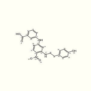 O=C(O)c1cccc(Nc2ncc([N+](=O)[O-])c(NCCc3ccc(O)cc3)n2)c1